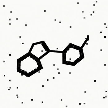 Ic1cccc(C2=CCc3ccccc32)c1